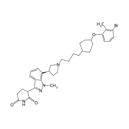 Cc1c(Br)cccc1OC1CCC(CCCCN2CC[C@@H](c3cccc4c(C5CCC(=O)NC5=O)nn(C)c34)C2)CC1